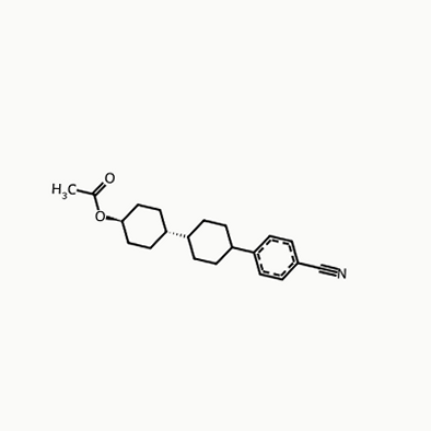 CC(=O)O[C@H]1CC[C@H](C2CCC(c3ccc(C#N)cc3)CC2)CC1